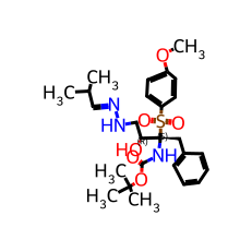 COc1ccc(S(=O)(=O)[C@](Cc2ccccc2)(NC(=O)OC(C)(C)C)[C@H](O)CNN=CC(C)C)cc1